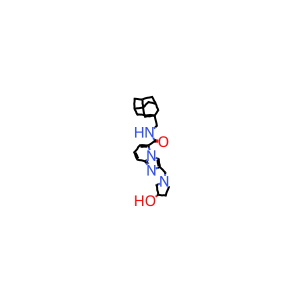 O=C(NCC12CC3CC4CC(C1)C4(C3)C2)c1cccc2nc(CN3CCC(O)C3)cn12